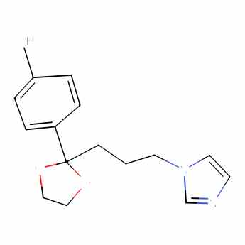 Cc1ccc(C2(CCCn3ccnc3)OCCO2)cc1